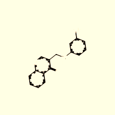 Cc1cccc(NCc2coc3ccccc3c2=O)c1